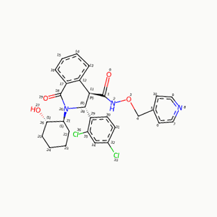 O=C(NOCc1ccncc1)[C@@H]1c2ccccc2C(=O)N([C@H]2CCCC[C@@H]2O)[C@H]1c1ccc(Cl)cc1Cl